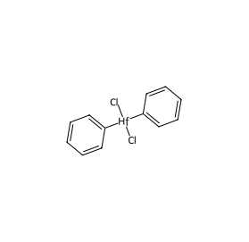 [Cl][Hf]([Cl])([c]1ccccc1)[c]1ccccc1